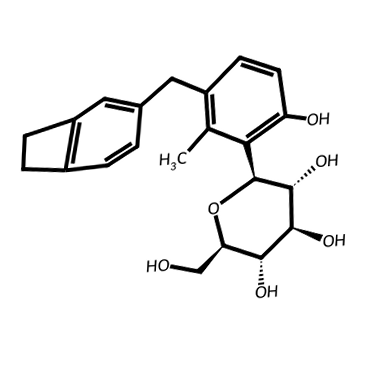 Cc1c(Cc2ccc3c(c2)CC3)ccc(O)c1[C@@H]1O[C@H](CO)[C@@H](O)[C@H](O)[C@H]1O